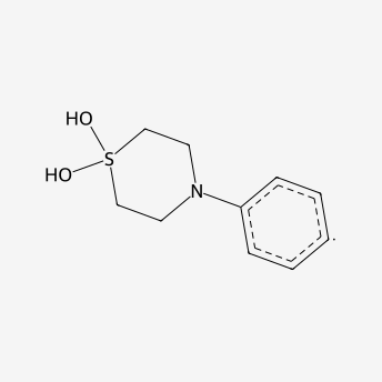 OS1(O)CCN(c2cc[c]cc2)CC1